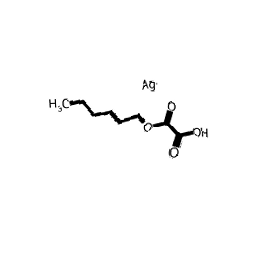 CCCCCCOC(=O)C(=O)O.[Ag]